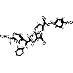 O=CNc1nc(C(=NC2CCCCC2)C(=O)NC2C(=O)N3C=C(C(=O)OCc4ccc([N+](=O)[O-])cc4)CS[C@H]23)cs1